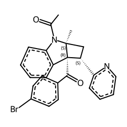 CC(=O)N1c2ccccc2[C@]2(C(=O)c3ccc(Br)cc3)[C@@H](c3ccccn3)C[C@]12C